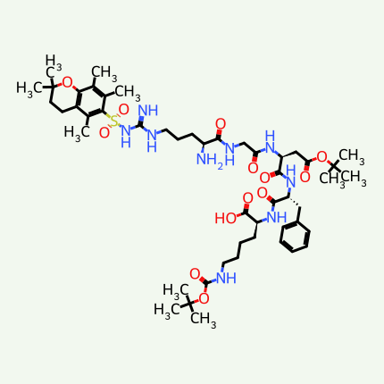 Cc1c(C)c(S(=O)(=O)NC(=N)NCCC[C@H](N)C(=O)NCC(=O)N[C@@H](CC(=O)OC(C)(C)C)C(=O)N[C@H](Cc2ccccc2)C(=O)N[C@@H](CCCCNC(=O)OC(C)(C)C)C(=O)O)c(C)c2c1OC(C)(C)CC2